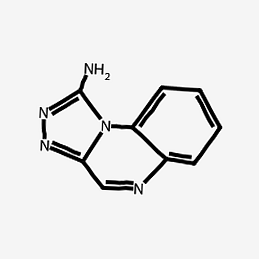 Nc1nnc2cnc3ccccc3n12